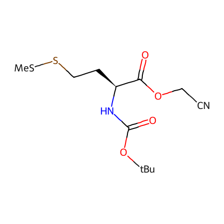 CSSCC[C@H](NC(=O)OC(C)(C)C)C(=O)OCC#N